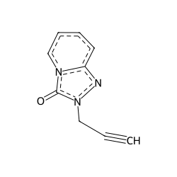 C#CCn1nc2ccccn2c1=O